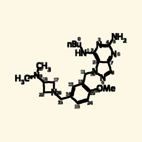 CCCCNc1nc(N)nc2cnn(Cc3cc(CN4CC(N(C)C)C4)ccc3OC)c12